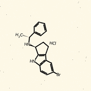 C[C@@H](N[C@H]1CCc2c1[nH]c1ccc(Br)cc21)c1ccccc1.Cl